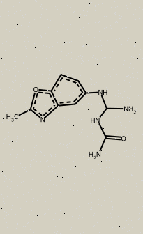 Cc1nc2cc(NC(N)NC(N)=O)ccc2o1